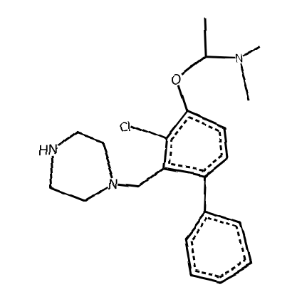 CC(Oc1ccc(-c2ccccc2)c(CN2CCNCC2)c1Cl)N(C)C